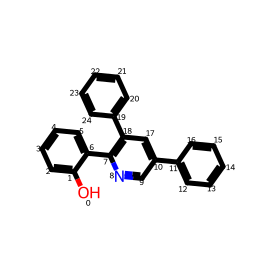 Oc1ccccc1-c1ncc(-c2ccccc2)cc1-c1ccccc1